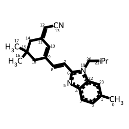 Cc1ccc2nc(/C=C/C3=CC(=CC#N)CC(C)(C)C3)n(CC(C)C)c2c1